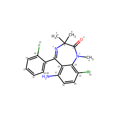 CN1C(=O)C(C)(C)N=C(c2ccccc2F)c2c(N)ccc(Br)c21